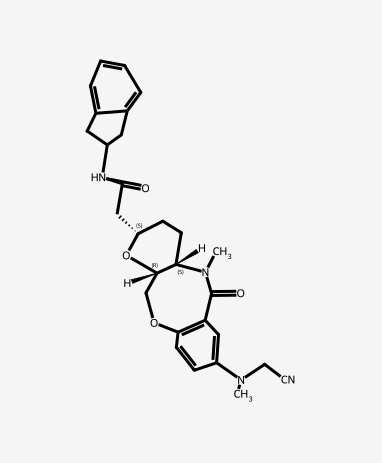 CN(CC#N)c1ccc2c(c1)C(=O)N(C)[C@H]1CC[C@@H](CC(=O)NC3Cc4ccccc4C3)O[C@H]1CO2